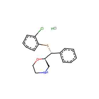 Cl.Clc1ccccc1S[C@H](c1ccccc1)[C@H]1CNCCO1